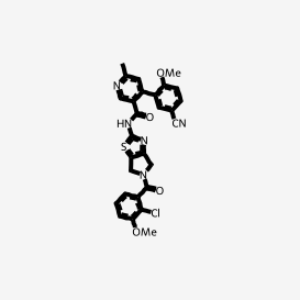 COc1ccc(C#N)cc1-c1cc(C)ncc1C(=O)Nc1nc2c(s1)CN(C(=O)c1cccc(OC)c1Cl)C2